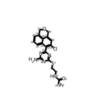 CCCC(=O)NCCSc1nc(N)nc(-c2c(Cl)cc3c4c(cccc24)COC3)n1